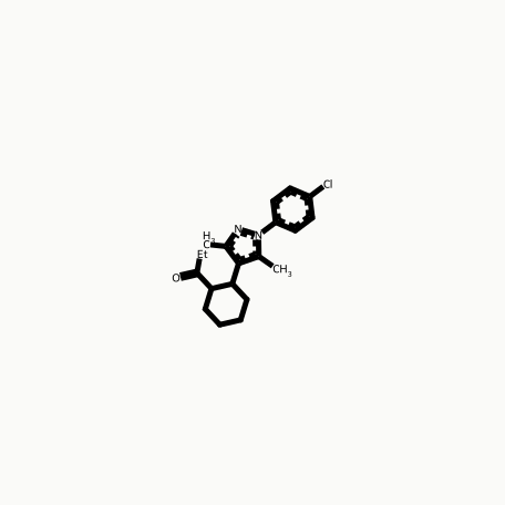 CCC(=O)C1CCCCC1c1c(C)nn(-c2ccc(Cl)cc2)c1C